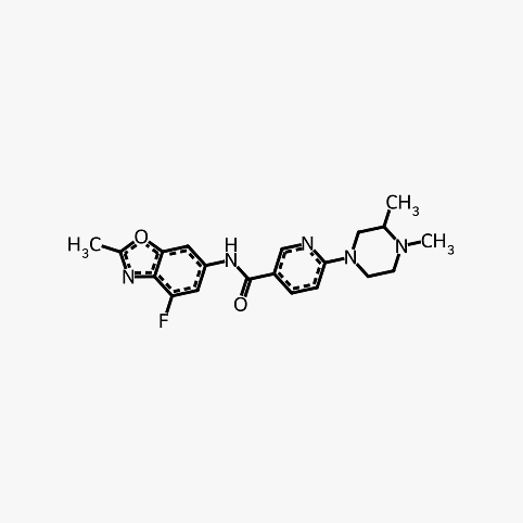 Cc1nc2c(F)cc(NC(=O)c3ccc(N4CCN(C)C(C)C4)nc3)cc2o1